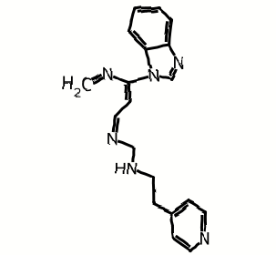 C=N/C(=C\C=N/CNCCc1ccncc1)n1cnc2ccccc21